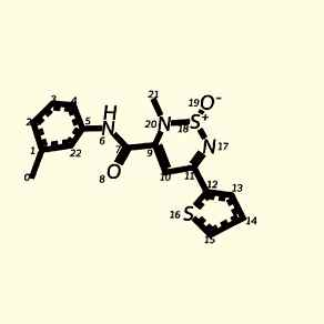 Cc1cccc(NC(=O)C2=CC(c3cccs3)=N[S+]([O-])N2C)c1